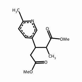 COC(=O)CC(c1ccc(C)nc1)C(C)C(=O)OC